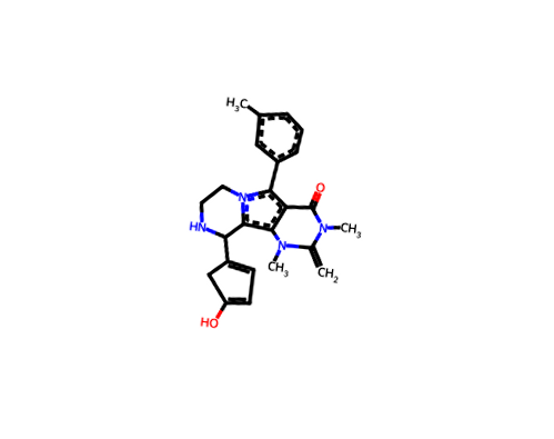 C=C1N(C)C(=O)c2c(c3n(c2-c2cccc(C)c2)CCNC3C2=CC=C(O)C2)N1C